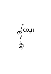 O=C(O)C(CF)N1OC1CCCC[C@@H]1CCSS1